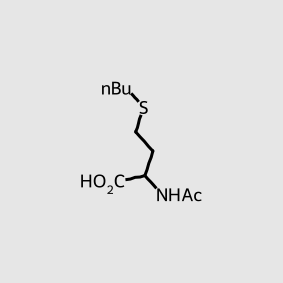 CCCCSCCC(NC(C)=O)C(=O)O